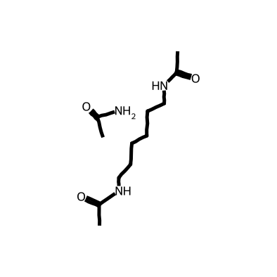 CC(=O)NCCCCCCNC(C)=O.CC(N)=O